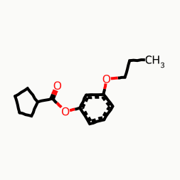 CCCOc1cccc(OC(=O)C2CCCC2)c1